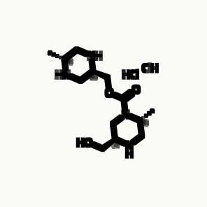 C[C@@H]1CN[C@@H](COC(=O)N2C[C@H](CO)NC[C@H]2C)CN1.Cl.Cl